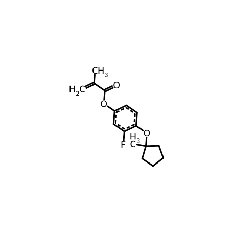 C=C(C)C(=O)Oc1ccc(OC2(C)CCCC2)c(F)c1